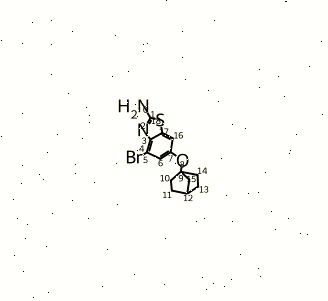 Nc1nc2c(Br)cc(OC34CCC(CC3)C4)cc2s1